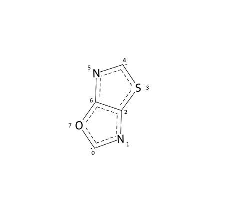 [c]1nc2s[c]nc2o1